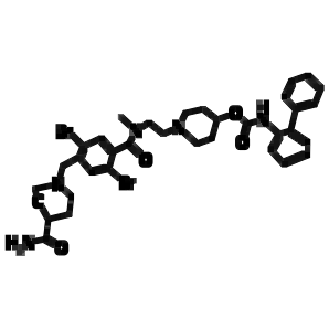 CN(CCN1CCC(OC(=O)Nc2ccccc2-c2ccccc2)CC1)C(=O)c1cc(Br)c(CN2CCC(C(N)=O)CC2)cc1Br